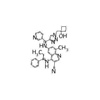 CC[C@@H](Nc1c(C#N)cnc2c(C)cc(N[C@@H](c3cccnc3)c3cn(CC4(O)CCC4)nn3)cc12)c1ccccc1